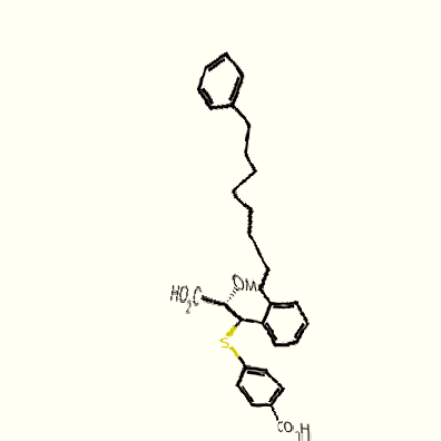 CO[C@@H](C(=O)O)[C@H](Sc1ccc(C(=O)O)cc1)c1ccccc1CCCCCCCCc1ccccc1